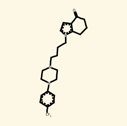 O=C1CCCc2c1ccn2CCCCN1CCN(c2ccc(C(F)(F)F)cc2)CC1